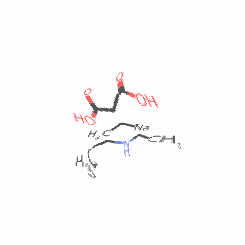 CCNCC.C[CH2][Na].O=C(O)CC(=O)O